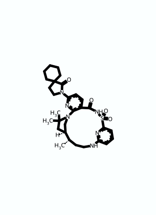 C[C@H]1CCNc2cccc(n2)S(=O)(=O)NC(=O)c2ccc(N3CCC4(CCCCC4)C3=O)nc2N2C[C@@H]1CC2(C)C